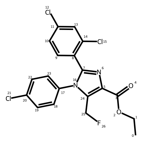 CCOC(=O)c1nc(-c2ccc(Cl)cc2Cl)n(-c2ccc(Cl)cc2)c1CF